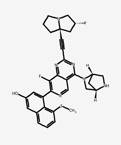 CSc1cccc2cc(O)cc(-c3ncc4c(N5C[C@@H]6C[C@H]5CN6)nc(C#C[C@@]56CCCN5C[C@H](F)C6)nc4c3F)c12